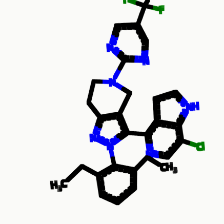 CCc1cccc(CC)c1-n1nc2c(c1-c1ncc(Cl)c3[nH]ccc13)CN(c1ncc(C(F)(F)F)cn1)CC2